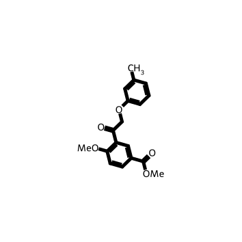 COC(=O)c1ccc(OC)c(C(=O)COc2cccc(C)c2)c1